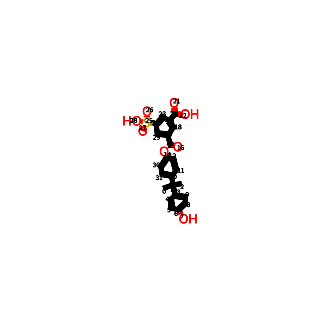 CC(C)(c1ccc(O)cc1)c1ccc(OC(=O)c2cc(C(=O)O)cc(S(=O)(=O)O)c2)cc1